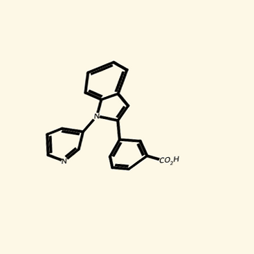 O=C(O)c1cccc(-c2cc3ccccc3n2-c2cccnc2)c1